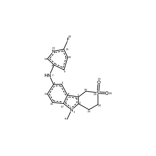 Cn1c2c(c3cc(Nc4ccc(F)nc4)ccc31)CS(=O)(=O)CC2